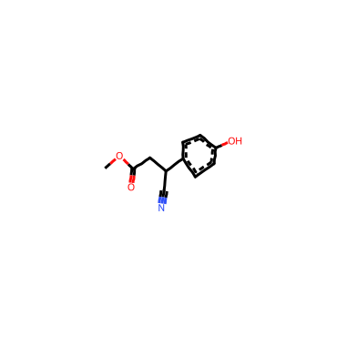 COC(=O)CC(C#N)c1ccc(O)cc1